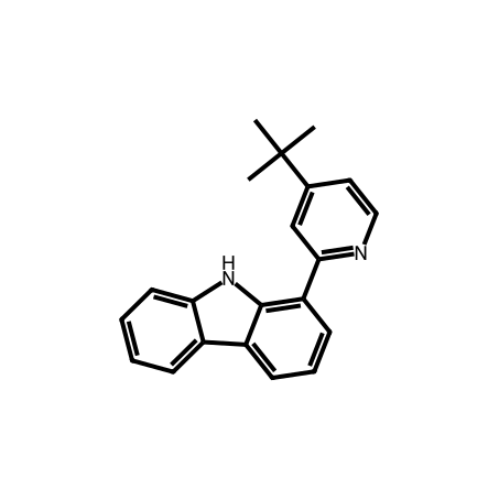 CC(C)(C)c1ccnc(-c2cccc3c2[nH]c2ccccc23)c1